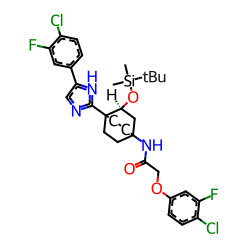 CC(C)(C)[Si](C)(C)O[C@H]1CC2(NC(=O)COc3ccc(Cl)c(F)c3)CCC1(c1ncc(-c3ccc(Cl)c(F)c3)[nH]1)CC2